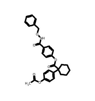 CC(=O)Oc1ccc(C2(C(=O)Oc3ccc(C(=O)NOCc4ccccc4)cc3)CCCCC2)cc1